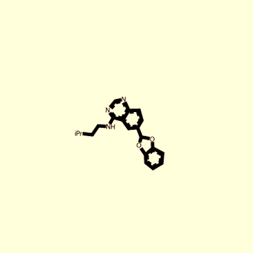 CC(C)CCNc1ncnc2ccc(C3Oc4ccccc4O3)cc12